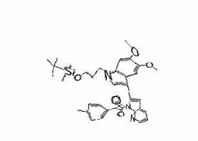 COc1cc2c(-c3cc4cccnc4n3S(=O)(=O)c3ccc(C)cc3)cn(CCCO[Si](C)(C)C(C)(C)C)c2cc1OC